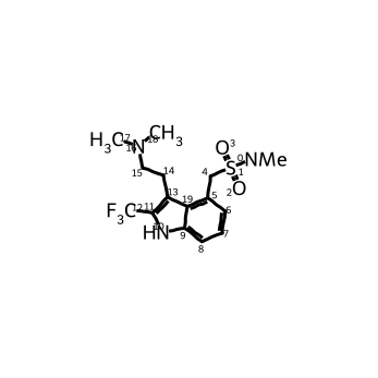 CNS(=O)(=O)Cc1cccc2[nH]c(C(F)(F)F)c(CCN(C)C)c12